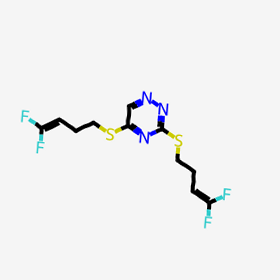 FC(F)=CCCSc1cnnc(SCCC=C(F)F)n1